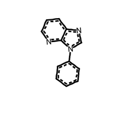 c1ccc(-n2cnc3cccnc32)cc1